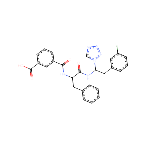 O=C(O)c1cccc(C(=O)NC(Cc2ccccc2)C(=O)NC(Cc2cccc(Cl)c2)n2cnnn2)c1